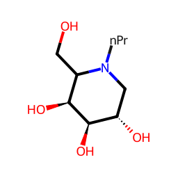 CCCN1C[C@H](O)[C@@H](O)[C@@H](O)C1CO